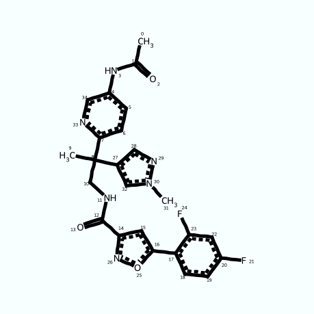 CC(=O)Nc1ccc(C(C)(CNC(=O)c2cc(-c3ccc(F)cc3F)on2)c2cnn(C)c2)nc1